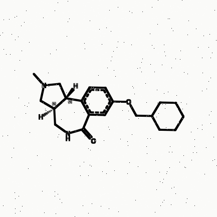 CN1C[C@@H]2CNC(=O)c3cc(OCC4CCCCC4)ccc3[C@H]2C1